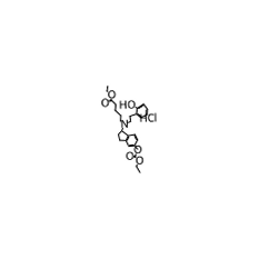 CCOC(=O)CCCCN(CCc1ccccc1O)C1CCc2cc(OC(=O)OCC)ccc21.Cl